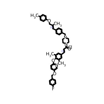 C/C(=C\c1ccc(CN2CCN(C(=O)/C=C/c3cc(C)c(Oc4ccc(OCc5ccc(F)cc5)cn4)c(C)c3)CC2)cc1)COc1ccc(C)cc1.Cl